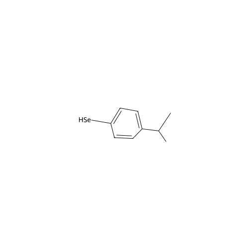 CC(C)c1ccc([SeH])cc1